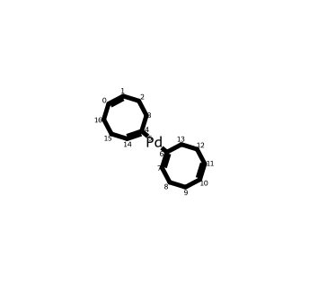 C1=CCC[C]([Pd][C]2=CCCC=CCC2)=CCC1